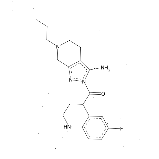 CCCN1CCc2c(nn(C(=O)C3CCNc4ccc(F)cc43)c2N)C1